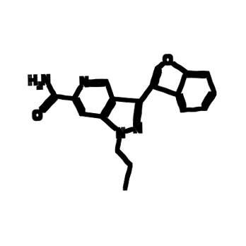 CCCn1nc(-c2coc3ccccc23)c2cnc(C(N)=O)cc21